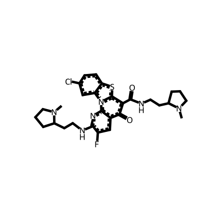 CN1CCCC1CCNC(=O)c1c(=O)c2cc(F)c(NCCC3CCCN3C)nc2n2c1sc1ccc(Cl)cc12